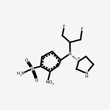 NS(=O)(=O)c1ccc(N(C(CF)CF)[C@@H]2CCNC2)cc1[N+](=O)[O-]